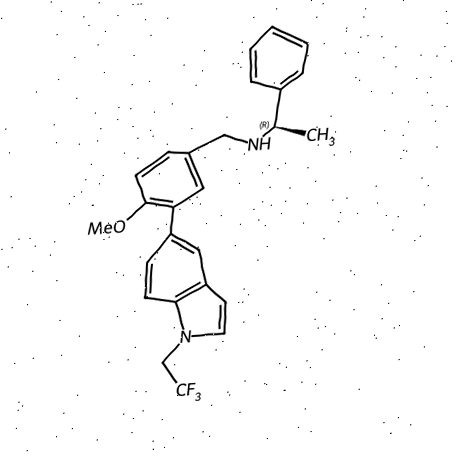 COc1ccc(CN[C@H](C)c2ccccc2)cc1-c1ccc2c(ccn2CC(F)(F)F)c1